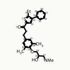 CCc1sc(C(=O)CCc2cc(C)c(OCC(O)CNC)c(C)c2)cc1-c1ccccc1